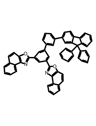 c1ccc(C2(c3ccccc3)c3ccccc3-c3ccc(-c4cccc(-c5cc(-c6nc7c(ccc8ccccc87)o6)cc(-c6nc7c(ccc8ccccc87)o6)c5)c4)cc32)cc1